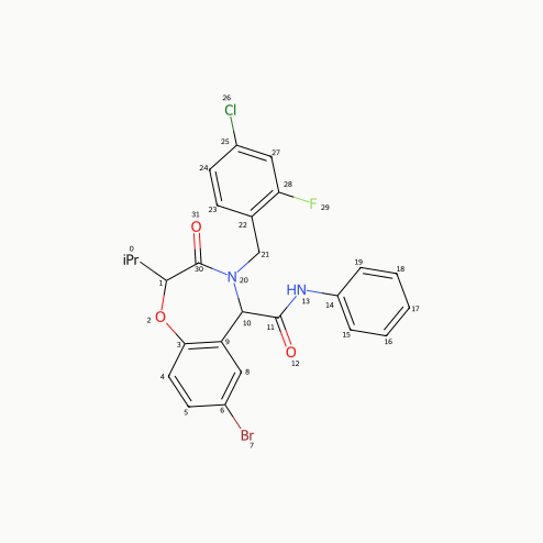 CC(C)C1Oc2ccc(Br)cc2C(C(=O)Nc2ccccc2)N(Cc2ccc(Cl)cc2F)C1=O